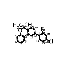 CC1(C)Oc2ccccc2-c2cc(-c3ccc(Cl)cc3F)ccc21